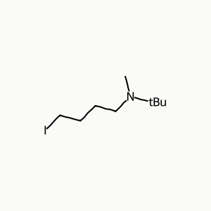 CN(CCCCI)C(C)(C)C